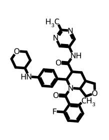 Cc1ncc(NC(=O)C2CC3COCC3N(C(=O)c3c(C)cccc3F)C2c2ccc(NC3CCOCC3)cc2)cn1